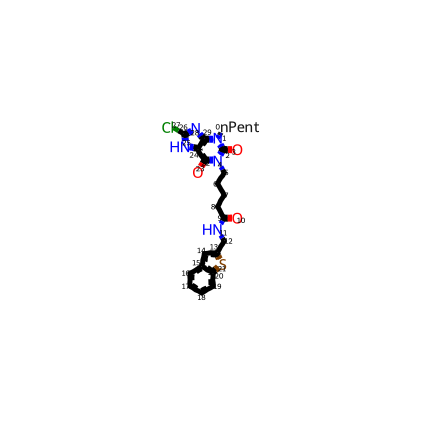 CCCCCn1c(=O)n(CCCCC(=O)NCc2cc3ccccc3s2)c(=O)c2[nH]c(Cl)nc21